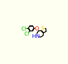 Clc1ccc(OC2CNCCC3=C2SCC3)cc1Cl